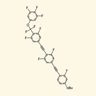 CCCCc1ccc(C#Cc2cc(F)c(C#Cc3cc(F)c(C(F)(F)Oc4cc(F)c(F)c(F)c4)c(F)c3)c(F)c2)c(F)c1